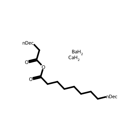 CCCCCCCCCCCCCCCCCC(=O)OC(=O)CCCCCCCCCCC.[BaH2].[CaH2]